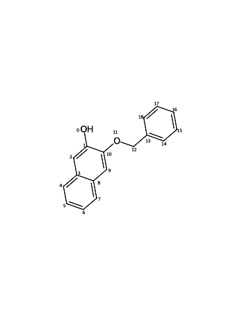 Oc1cc2ccccc2cc1OCc1ccccc1